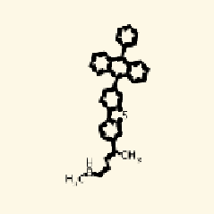 CB/C=C\C=C(/C)c1ccc2c(c1)sc1cc(-c3c4ccccc4c(-c4ccccc4)c4ccccc34)ccc12